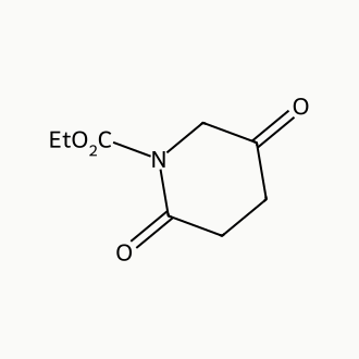 CCOC(=O)N1CC(=O)CCC1=O